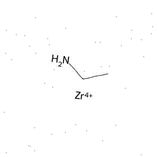 CCN.[Zr+4]